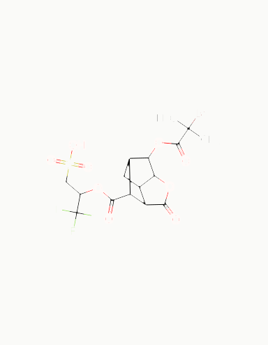 CC(C)(Br)C(=O)OC1C2CC3C1OC(=O)C3C2C(=O)OC(CS(=O)(=O)O)C(F)(F)F